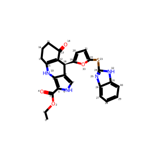 CCOC(=O)c1[nH]cc2c1NC1=C(C(=O)CCC1)[C@H]2c1ccc(Sc2nc3ccccc3[nH]2)o1